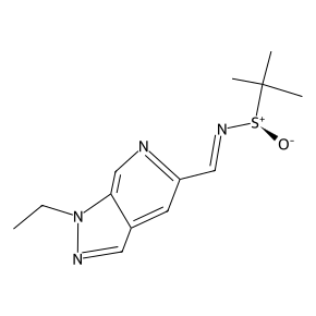 CCn1ncc2cc(/C=N/[S@+]([O-])C(C)(C)C)ncc21